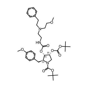 COCCN(CCNC(=O)O[C@@H]1[C@H](OC(=O)OC(C)(C)C)CN(C(=O)OC(C)(C)C)[C@H]1Cc1ccc(OC)cc1)CCc1ccccc1